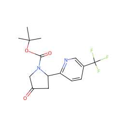 CC(C)(C)OC(=O)N1CC(=O)CC1c1ccc(C(F)(F)F)cn1